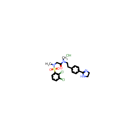 CN(CCc1ccc(C2=NCCN2)cc1)C(=O)CN(C)S(=O)(=O)c1cccc(Cl)c1Cl.Cl